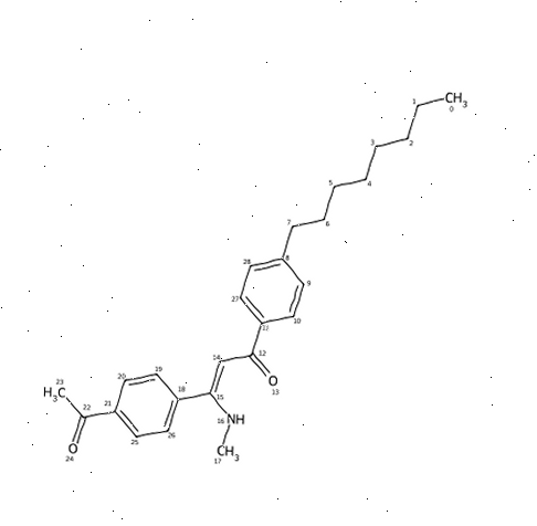 CCCCCCCCc1ccc(C(=O)/C=C(\NC)c2ccc(C(C)=O)cc2)cc1